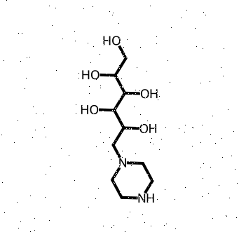 OCC(O)C(O)C(O)C(O)CN1CCNCC1